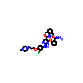 Cc1cccc(C)c1NC(=O)c1cnc(Nc2ccc(OCCCN3CCN(C)CC3)c(F)c2)nc1Oc1ccccc1C(N)=O